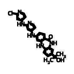 CC(C)(O)c1ccc2c(c1)NC(=O)c1ccc(Nc3ccnc(Nc4ccnc(Cl)c4)c3)cc1N2